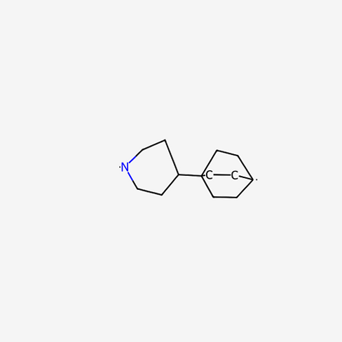 C1CC(C23CC[C](CC2)CC3)CC[N]1